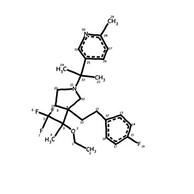 CCOC(C)(C(F)(F)F)C1(CCc2ccc(F)cc2)CCN(C(C)(C)c2ccc(C)nc2)C1